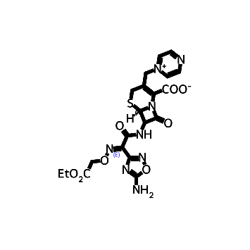 CCOC(=O)CO/N=C(/C(=O)NC1C(=O)N2C(C(=O)[O-])=C(C[n+]3ccncc3)CS[C@H]12)c1noc(N)n1